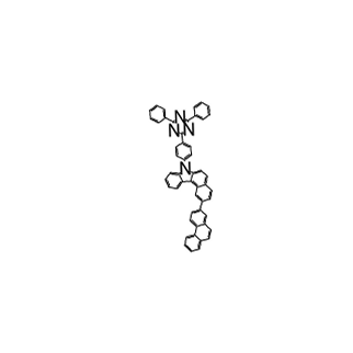 c1ccc(-c2nc(-c3ccccc3)nc(-c3ccc(-n4c5ccccc5c5c6cc(-c7ccc8c(ccc9ccccc98)c7)ccc6ccc54)cc3)n2)cc1